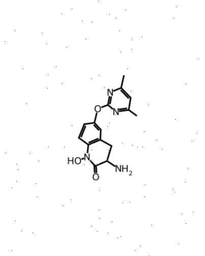 Cc1cc(C)nc(Oc2ccc3c(c2)CC(N)C(=O)N3O)n1